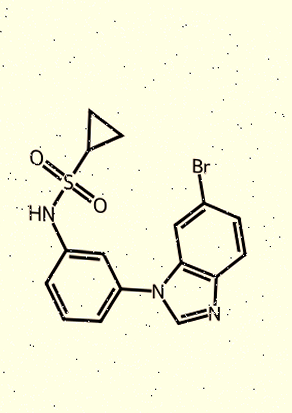 O=S(=O)(Nc1cccc(-n2cnc3ccc(Br)cc32)c1)C1CC1